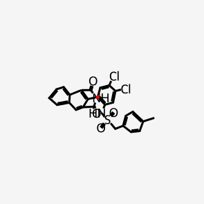 Cc1ccc(CS(=O)(=O)Nc2cc(Cl)c(Cl)cc2-c2c3cc4ccccc4c2C(=O)NC3=O)cc1